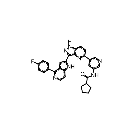 O=C(Nc1cncc(-c2ccc3[nH]nc(-c4cc5c(-c6ccc(F)cc6)nccc5[nH]4)c3n2)c1)C1CCCC1